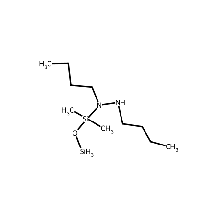 CCCCNN(CCCC)[Si](C)(C)O[SiH3]